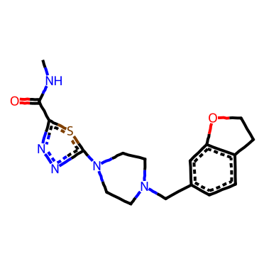 CNC(=O)c1nnc(N2CCN(Cc3ccc4c(c3)OCC4)CC2)s1